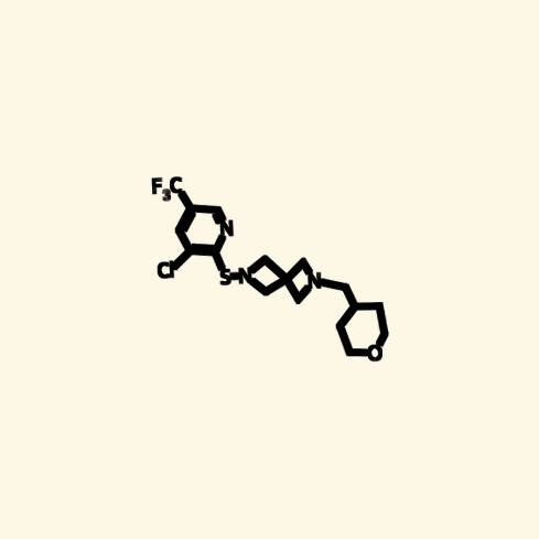 FC(F)(F)c1cnc(SN2CC3(CN(CC4CCOCC4)C3)C2)c(Cl)c1